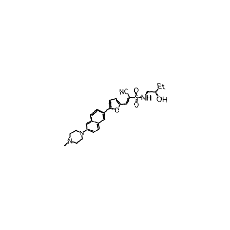 CCC(O)CNS(=O)(=O)/C(C#N)=C/c1ccc(-c2ccc3cc(N4CCN(C)CC4)ccc3c2)o1